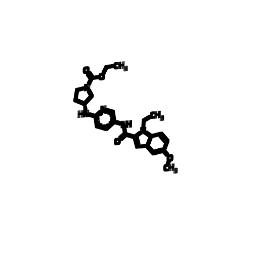 CCOC(=O)N1CC[C@H](Nc2ccc(NC(=O)C3=CC4C=C(OC)C=CC4N3CC)cn2)C1